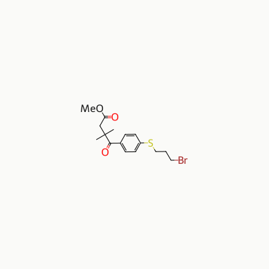 COC(=O)CC(C)(C)C(=O)c1ccc(SCCCBr)cc1